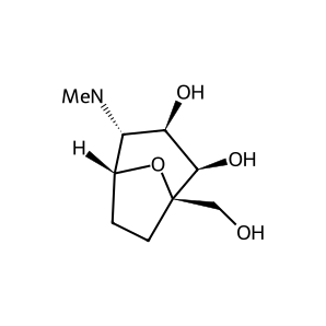 CN[C@@H]1[C@@H](O)[C@@H](O)[C@]2(CO)CC[C@H]1O2